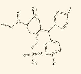 C[C@H]1CN(C(c2ccc(F)cc2)c2ccc(F)cc2)[C@H](COS(C)(=O)=O)CN1C(=O)OC(C)(C)C